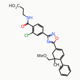 COCC1(C)CC(c2nc(-c3ccc(C(=O)NCCC(=O)O)c(Cl)c3)no2)=CC=C1c1ccccc1